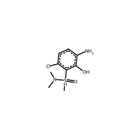 CN(C)[SH](C)(=O)c1c(Cl)ccc(N)c1O